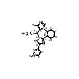 Cc1ncn2c1C(Cl)n1nc(-c3ccn(C)n3)nc1-c1ccccc1-2.Cl